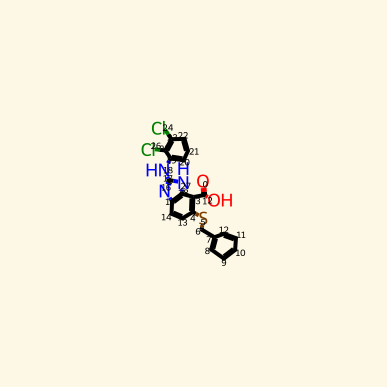 O=C(O)c1c(SCc2ccccc2)ccc2nc(Nc3cccc(Cl)c3Cl)[nH]c12